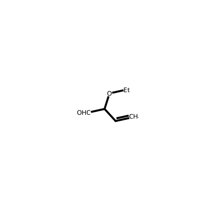 [CH]=CC(C=O)OCC